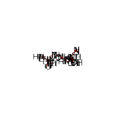 CCN(c1cc(-c2ccc(CN3CCN(CC(=O)NCCCCCC(=O)N[C@H](C(=O)N4C[C@H](O)C[C@H]4C(=O)NCc4ccc(-c5scnc5C)cc4)C(C)(C)C)CC3)cc2)cc(C(=O)NCc2c(C)cc(C)[nH]c2=O)c1C)C1CCOCC1